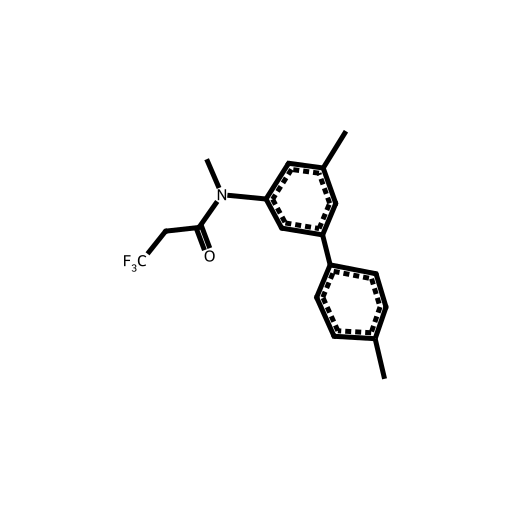 Cc1ccc(-c2cc(C)cc(N(C)C(=O)CC(F)(F)F)c2)cc1